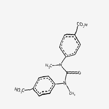 CN(C(=O)N(C)c1ccc(C(=O)O)cc1)c1ccc(C(=O)O)cc1